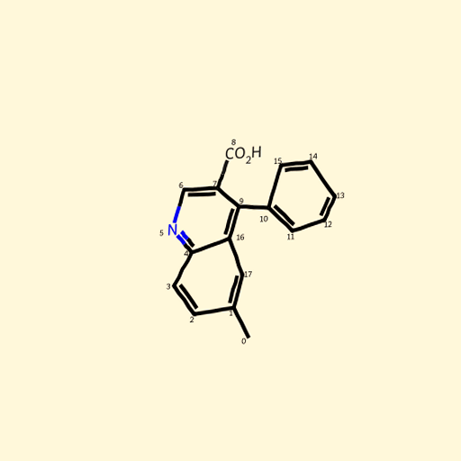 Cc1ccc2ncc(C(=O)O)c(-c3ccccc3)c2c1